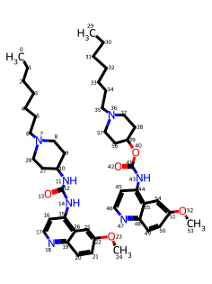 CCCCCCCN1CCC(NC(=O)Nc2ccnc3ccc(OC)cc23)CC1.CCCCCCCN1CCC(OC(=O)Nc2ccnc3ccc(OC)cc23)CC1